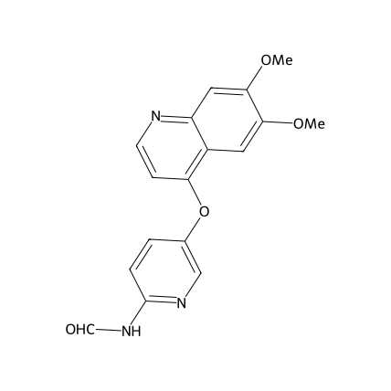 COc1cc2nccc(Oc3ccc(NC=O)nc3)c2cc1OC